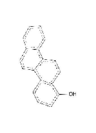 Oc1cccc2c1ccc1c3ccccc3ccc21